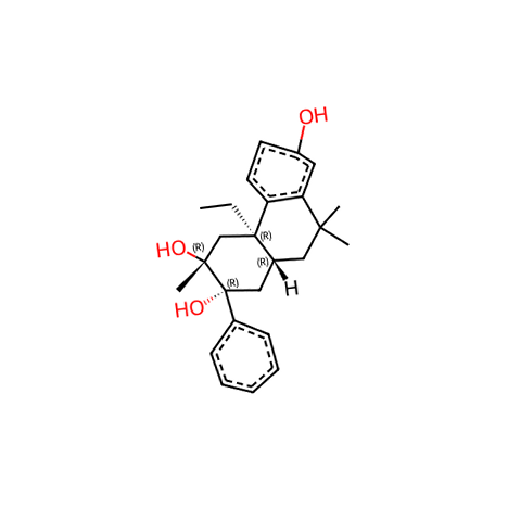 CC[C@@]12C[C@@](C)(O)[C@](O)(c3ccccc3)C[C@H]1CC(C)(C)c1cc(O)ccc12